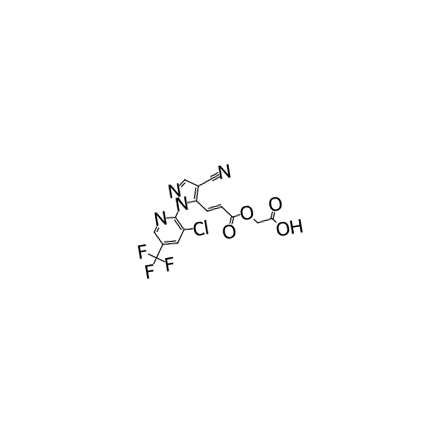 N#Cc1cnn(-c2ncc(C(F)(F)F)cc2Cl)c1C=CC(=O)OCC(=O)O